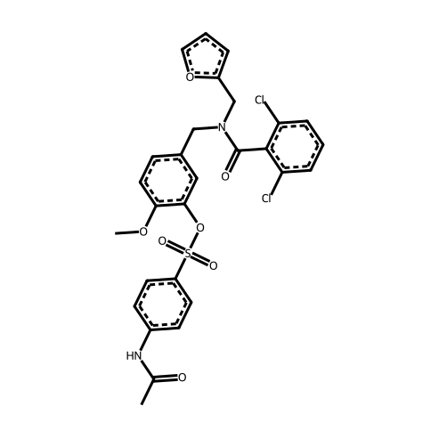 COc1ccc(CN(Cc2ccco2)C(=O)c2c(Cl)cccc2Cl)cc1OS(=O)(=O)c1ccc(NC(C)=O)cc1